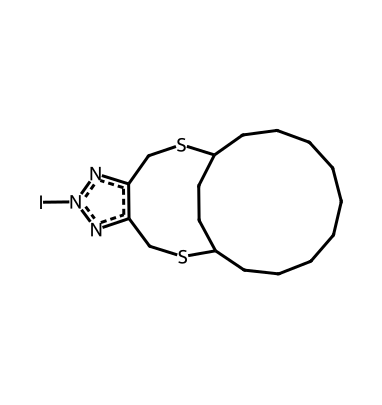 In1nc2c(n1)CSC1CCCCCCCCCC(CC1)SC2